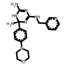 NC1=NC(NCc2cccnc2)=NC(N)(c2ccc(N3CCOCC3)cc2)N1